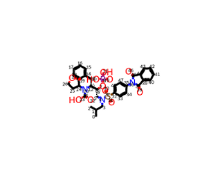 CC(C)CN(C[C@@H](OP(=O)(O)O)[C@H](Cc1ccccc1)N(C(=O)O)C1CCOC1)S(=O)(=O)c1ccc(N2C(=O)c3ccccc3C2=O)cc1